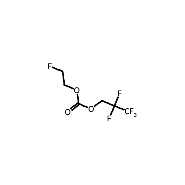 O=C(OCCF)OCC(F)(F)C(F)(F)F